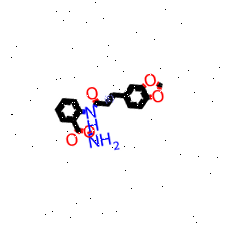 NOC(=O)c1ccccc1NC(=O)/C=C/c1ccc2c(c1)OCO2